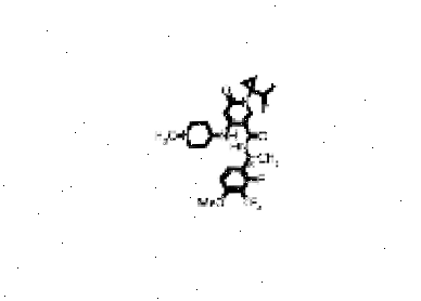 COc1ccc([C@@H](C)NC(=O)c2cn(C3(C(F)F)CC3)c(=O)cc2NC2CCN(C)CC2)c(F)c1C(F)(F)F